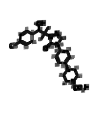 CC(C)(C(O)c1ccc(Cl)cc1)n1ncn(-c2ccc(N3CCN(C(=O)O)CC3)cc2)c1=O